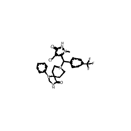 Cn1[nH]c(=O)c(Cl)c1C(c1ccc(C(F)(F)F)cc1)N1CCC2(CC1)C(=O)NCN2c1ccccc1